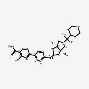 [2H]C([2H])(C1CCOCC1)N1C[C@H]2CC(Nc3ccc(-c4ccc(C(=O)NC)c(F)c4)nn3)C[C@H]2C1